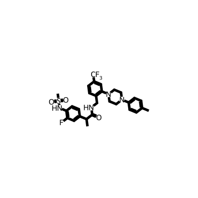 Cc1ccc(N2CCN(c3cc(C(F)(F)F)ccc3CNC(=O)C(C)c3ccc(NS(C)(=O)=O)c(F)c3)CC2)cc1